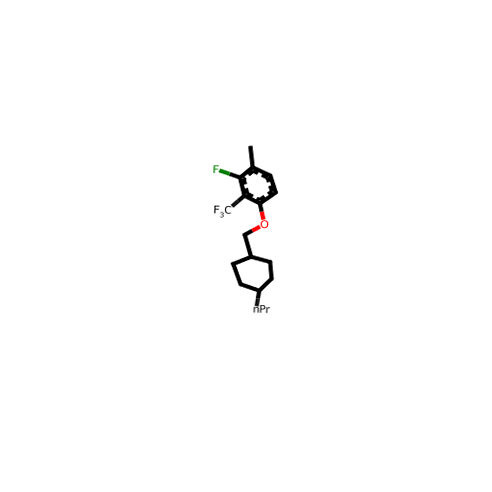 CCCC1CCC(COc2ccc(C)c(F)c2C(F)(F)F)CC1